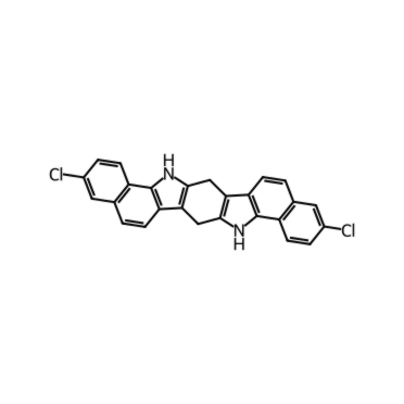 Clc1ccc2c(ccc3c4c([nH]c32)Cc2c([nH]c3c2ccc2cc(Cl)ccc23)C4)c1